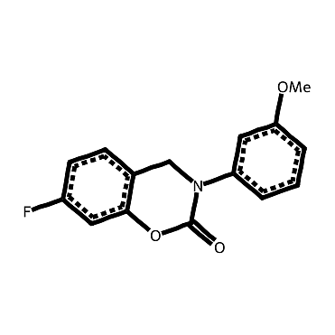 COc1cccc(N2Cc3ccc(F)cc3OC2=O)c1